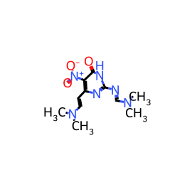 CN(C)C=Nc1nc(/C=C/N(C)C)c([N+](=O)[O-])c(=O)[nH]1